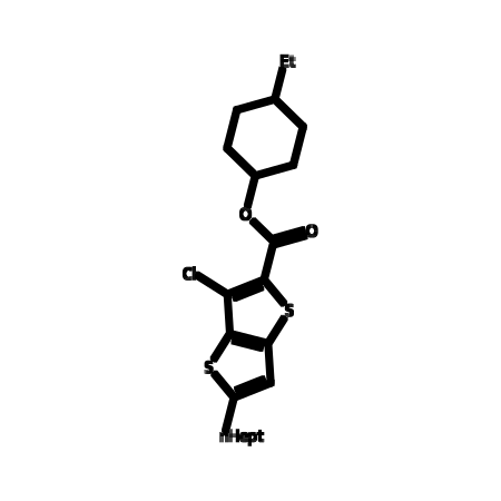 CCCCCCCc1cc2sc(C(=O)OC3CCC(CC)CC3)c(Cl)c2s1